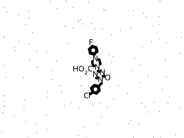 O=C(O)C1CN(c2ccc(F)cc2)CCN1c1ncn(Cc2ccc(Cl)cc2)c(=O)n1